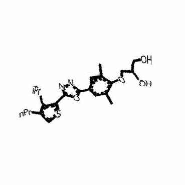 CCCc1csc(-c2nnc(-c3cc(C)c(OCC(O)CO)c(C)c3)o2)c1C(C)C